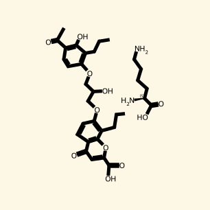 CCCc1c(OCC(O)COc2ccc3c(=O)cc(C(=O)O)oc3c2CCC)ccc(C(C)=O)c1O.NCCCC[C@H](N)C(=O)O